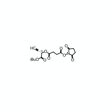 C#C[C@H](OC(=O)CCC(=O)ON1C(=O)CCC1=O)C(=O)OCC(C)C